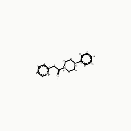 O=C(Cc1ccccn1)N1CCN(c2ccccc2)CC1